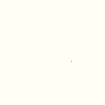 COc1cccc(CCN2CCCCC2CN2c3ccccc3COc3ccccc32)c1